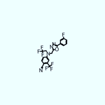 N#Cc1ccc(N(Cc2nnc(-c3cccc(F)c3)o2)CC(F)(F)F)cc1C(F)(F)F